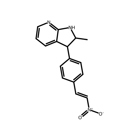 CC1Nc2ncccc2C1c1ccc(/C=C/[N+](=O)[O-])cc1